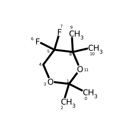 CC1(C)OCC(F)(F)C(C)(C)O1